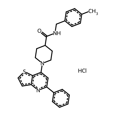 Cc1ccc(CNC(=O)C2CCN(c3cc(-c4ccccc4)nc4ccsc34)CC2)cc1.Cl